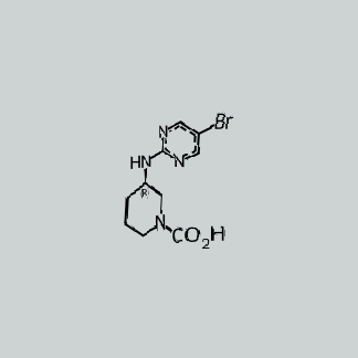 O=C(O)N1CCC[C@@H](Nc2ncc(Br)cn2)C1